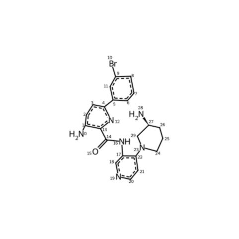 Nc1ccc(-c2cccc(Br)c2)nc1C(=O)Nc1cnccc1N1CCC[C@H](N)C1